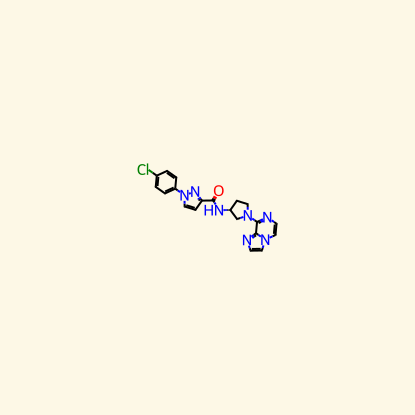 O=C(N[C@H]1CCN(c2nccn3ccnc23)C1)c1ccn(-c2ccc(Cl)cc2)n1